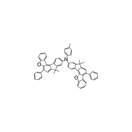 Cc1ccc(N(c2ccc3c(c2)C(C)(C)c2cc(-c4ccccc4)c4c(oc5ccccc54)c2-3)c2ccc3c(c2)C(C)(C)c2cc(-c4ccccc4)c4oc5ccccc5c4c2-3)cc1